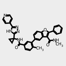 CNC(=O)c1c(-c2ccccc2)oc2ccc(-c3cc(C(=O)NC4(c5nnc(-c6ccncc6)[nH]5)CC4)ccc3C)cc12